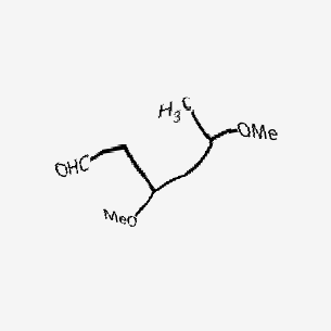 COC(C)CC(CC=O)OC